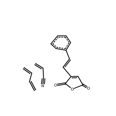 C=CC#N.C=CC=C.O=C1C=C(C=Cc2ccccc2)C(=O)O1